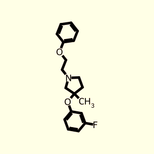 CC1(Oc2cccc(F)c2)CCN(CCOc2ccccc2)C1